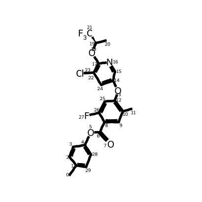 Cc1ccc(OC(=O)c2cc(C)c(Oc3cnc(O[C@H](C)C(F)(F)F)c(Cl)c3)cc2F)cc1